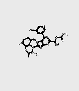 CC[C@@H]1[C@@H](C)OC2=C3[C@@H](CC[C@H]2C)Cn2c(nc4nc(C(=N)OC(N)=O)nc(-c5cncc(Cl)c5)c42)N31